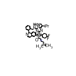 CC(C)C1=C2N=C(NC3CCC(F)(F)CC3)N=C(NCc3ccccc3-c3nccc4cc(NC(=O)/C=C/CN(C)C)ccc34)N2NC1